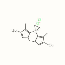 CC1=[C]([Zr+2]2([C]3=C(C)C(C(C)(C)C)=CC3C)[CH2][CH2]2)C(C)C=C1C(C)(C)C.[Cl-].[Cl-]